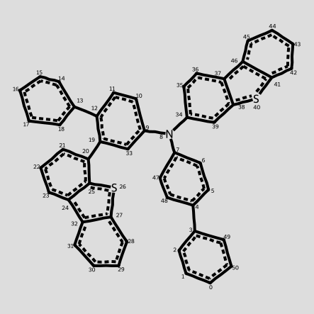 c1ccc(-c2ccc(N(c3ccc(-c4ccccc4)c(-c4cccc5c4sc4ccccc45)c3)c3ccc4c(c3)sc3ccccc34)cc2)cc1